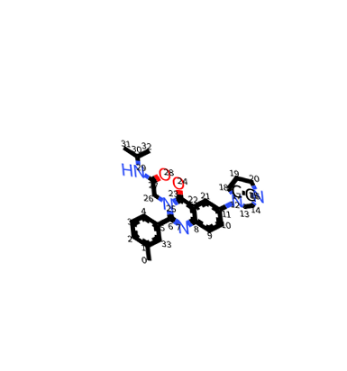 Cc1cccc(-c2nc3ccc(N4CCN5CCC4CC5)cc3c(=O)n2CC(=O)NC(C)C)c1